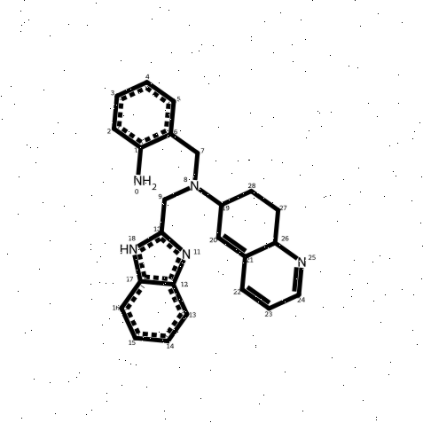 Nc1ccccc1CN(Cc1nc2ccccc2[nH]1)C1C=C2C=CC=NC2CC1